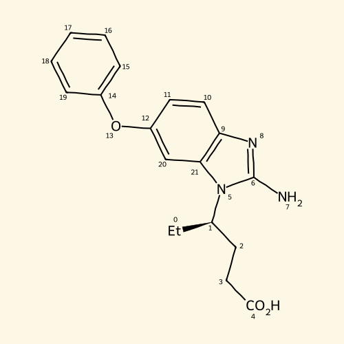 CC[C@H](CCC(=O)O)n1c(N)nc2ccc(Oc3ccccc3)cc21